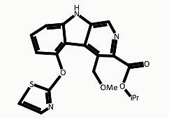 COCc1c(C(=O)OC(C)C)ncc2[nH]c3cccc(Oc4nccs4)c3c12